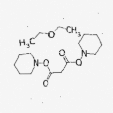 CCOCC.O=C(CC(=O)ON1CCCCC1)ON1CCCCC1